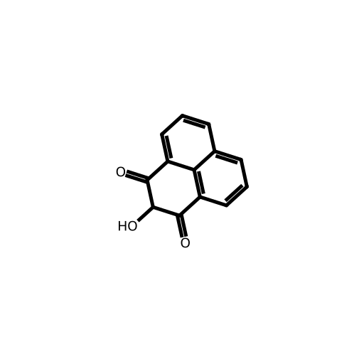 O=C1c2cccc3cccc(c23)C(=O)C1O